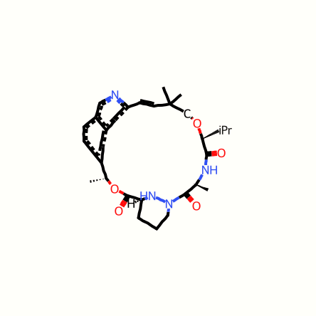 CC(C)[C@@H]1OCC(C)(C)/C=C/c2cc3cc(ccc3cn2)[C@@H](C)OC(=O)[C@@H]2CCCN(N2)C(=O)[C@H](C)NC1=O